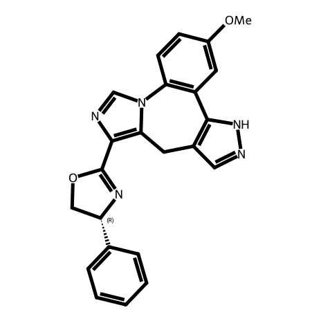 COc1ccc2c(c1)-c1[nH]ncc1Cc1c(C3=N[C@H](c4ccccc4)CO3)ncn1-2